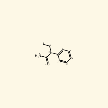 CCN(C(N)=O)c1ccccn1